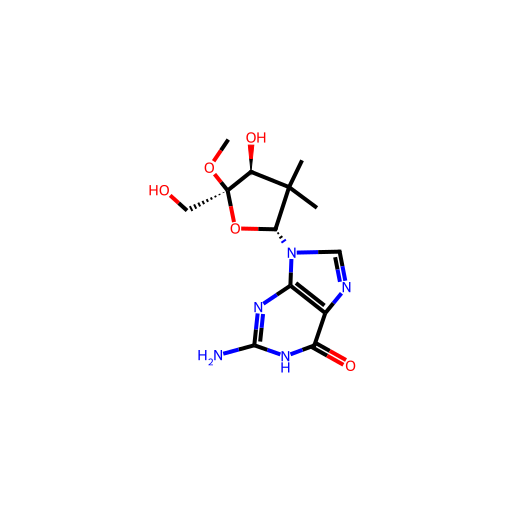 CO[C@]1(CO)O[C@@H](n2cnc3c(=O)[nH]c(N)nc32)C(C)(C)[C@@H]1O